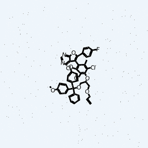 C=CCOCC(COC(c1ccccc1)(c1ccc(OC)cc1)c1ccc(OC)cc1)Oc1c(Cl)c(C)c(-c2c(-c3ccc(F)cc3)oc3ncnc(Cl)c23)c(C)c1Cl